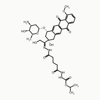 COc1cccc2c1C(=O)c1cc3c(cc1C2=O)C[C@@](O)(/C(CO)=N\NC(=O)CCCC(=O)NNC(=O)OC(C)C)C[C@@H]3O[C@H]1C[C@H](N)[C@H](O)[C@H](C)O1